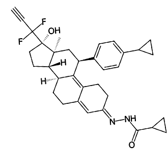 C#CC(F)(F)[C@]1(O)CC[C@H]2[C@@H]3CCC4=C/C(=N/NC(=O)C5CC5)CCC4=C3[C@H](c3ccc(C4CC4)cc3)C[C@@]21C